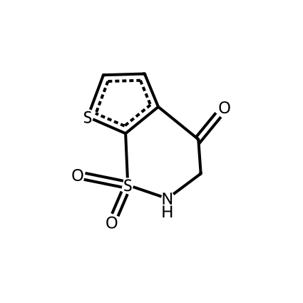 O=C1CNS(=O)(=O)c2sccc21